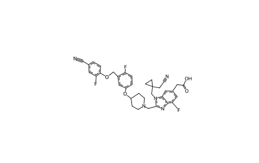 N#CCC1(Cn2c(CN3CCC(Oc4ccc(F)c(COc5ccc(C#N)cc5F)c4)CC3)nc3c(F)cc(CC(=O)O)cc32)CC1